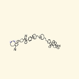 N#Cc1ccc(O[C@H]2CC[C@H](NC(=O)c3ccc(N4CCC(CCN5CCCC(CCc6ccc7c(c6)C(=O)N(C6CCC(=O)NC6=O)C7=O)CC5)CC4)cc3)CC2)c2c1CCC/C=C\C=C/2